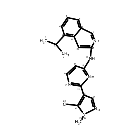 CC(C)c1cccc2cnc(Nc3ccnc(-c4cnn(C)c4Cl)n3)cc12